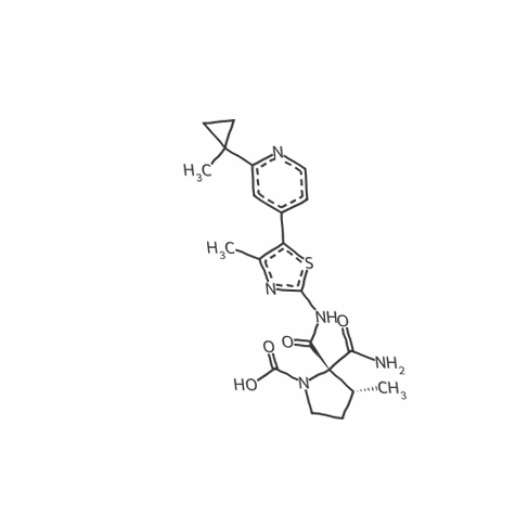 Cc1nc(NC(=O)[C@@]2(C(N)=O)[C@H](C)CCN2C(=O)O)sc1-c1ccnc(C2(C)CC2)c1